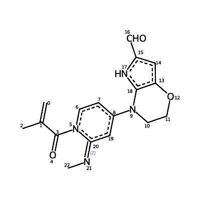 C=C(C)C(=O)n1ccc(N2CCOc3cc(C=O)[nH]c32)c/c1=N/C